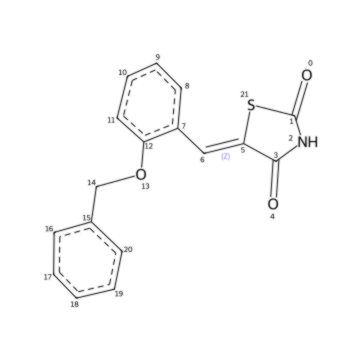 O=C1NC(=O)/C(=C/c2ccccc2OCc2ccccc2)S1